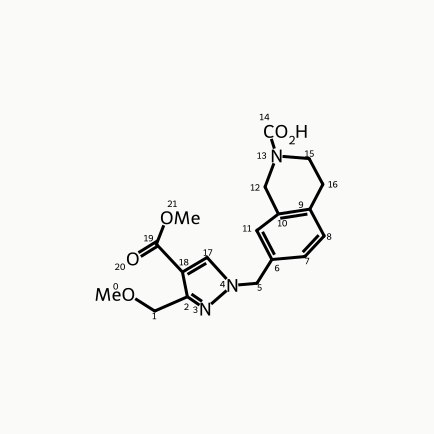 COCc1nn(Cc2ccc3c(c2)CN(C(=O)O)CC3)cc1C(=O)OC